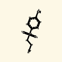 N#Cc1ccc(S(=O)(=O)CCBr)cc1